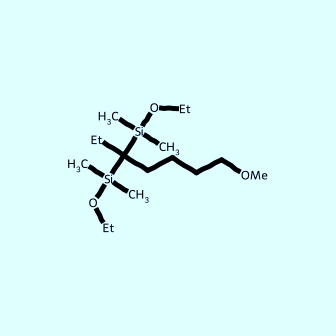 CCO[Si](C)(C)C(CC)(CCCCOC)[Si](C)(C)OCC